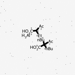 CCC(C(C)=O)C(=O)O.CCCCC(CCCC)(C(C)=O)C(=O)O.[AlH3]